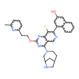 Cc1cccc(CCOc2nc(N3CCC4CNC(C4)C3)c3cnc(-c4cc(O)cc5ccccc45)c(F)c3n2)n1